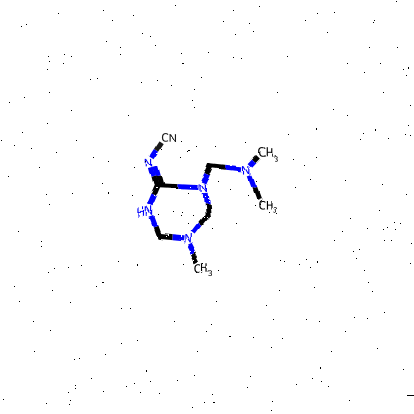 CN(C)CN1CN(C)CNC1=NC#N